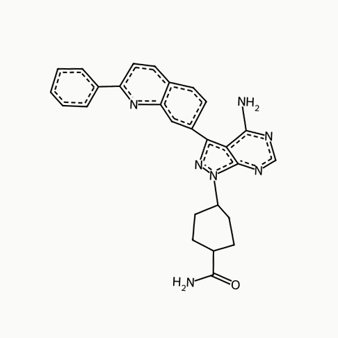 NC(=O)C1CCC(n2nc(-c3ccc4ccc(-c5ccccc5)nc4c3)c3c(N)ncnc32)CC1